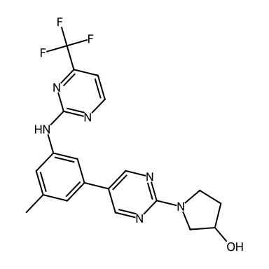 Cc1cc(Nc2nccc(C(F)(F)F)n2)cc(-c2cnc(N3CCC(O)C3)nc2)c1